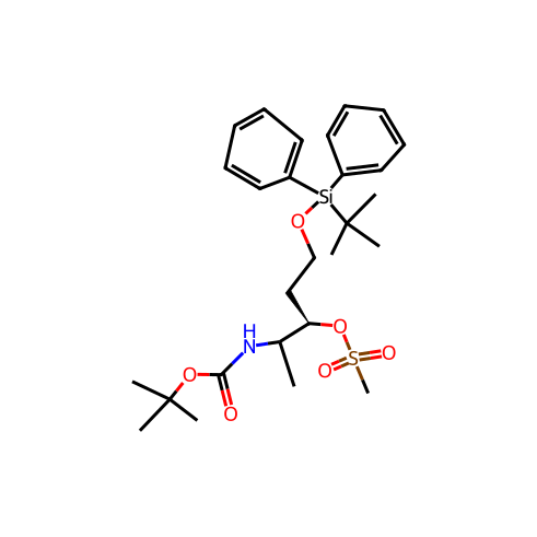 CC(NC(=O)OC(C)(C)C)[C@@H](CCO[Si](c1ccccc1)(c1ccccc1)C(C)(C)C)OS(C)(=O)=O